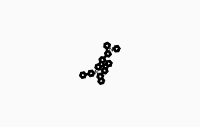 c1ccc(-c2ccc(N(c3ccc4c(c3)C3(c5ccccc5-c5ccccc53)c3cc(-c5ccc6c(c5)c5ccccc5n6-c5ccccc5)ccc3-4)c3ccc4ccccc4c3)cc2)cc1